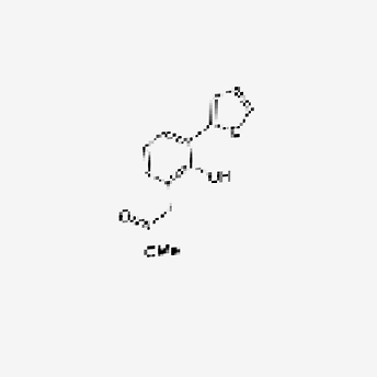 COC(=O)Cc1cccc(-c2ccco2)c1O